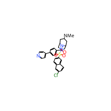 CNC1CC2CN(S(=O)(=O)c3ccc4cc(Cl)ccc4c3)CC(C1)N2C(=O)c1ccc(-c2ccncc2)cc1